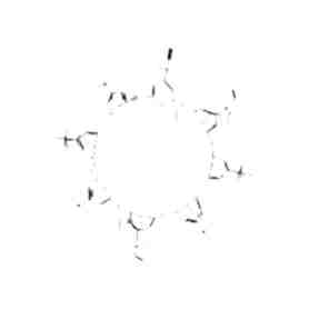 C#CC(C)(C)C1=CC2CC3C=C(C(C)(C)C=C)C=C(CC4C=C(C(C)(C)C)C=C(CC5=CC(C(C)(C)C)=CC(CC6=CC(C(C)(C)C=C)=CC(CC7=CC(C(C)(C)C)=CC(CC8C=C(C(C)(C)C)C=C(CC9C=C(C(C)(C)C)C=C(CC(=C1)C2O)C9O)C8O)C7O)C6O)C5O)C4O)C3O